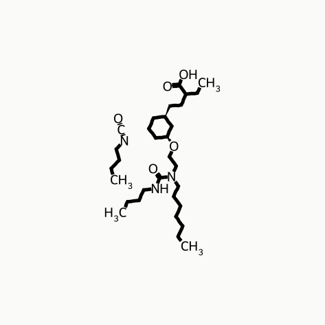 CCCCCCCN(CCO[C@H]1CCC[C@@H](CCC(CC)C(=O)O)C1)C(=O)NCCCC.CCCCN=C=O